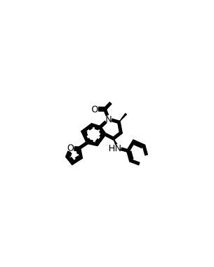 C/C=C\C(=C/C)N[C@@H]1C[C@H](C)N(C(C)=O)c2ccc(-c3ccco3)cc21